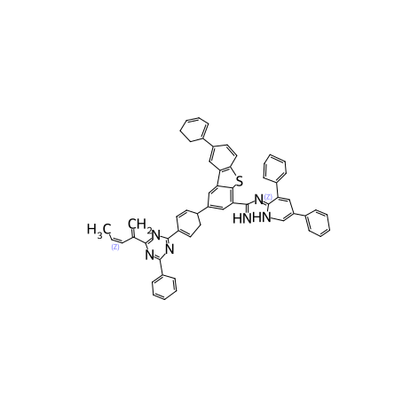 C=C(/C=C\C)c1nc(C2=CCC(c3cc(C(=N)/N=c4\[nH]cc(-c5ccccc5)cc4-c4ccccc4)c4sc5ccc(C6=CC=CCC6)cc5c4c3)C=C2)nc(-c2ccccc2)n1